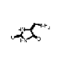 NC=C1NC(=O)NC1=O